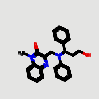 Cn1c(=O)c(CN(c2ccccc2)C(CCO)c2ccccc2)nc2ccccc21